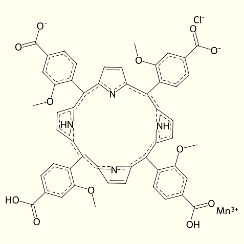 COc1cc(C(=O)[O-])ccc1-c1c2nc(c(-c3ccc(C(=O)[O-])cc3OC)c3ccc([nH]3)c(-c3ccc(C(=O)O)cc3OC)c3nc(c(-c4ccc(C(=O)O)cc4OC)c4ccc1[nH]4)C=C3)C=C2.[Cl-].[Mn+3]